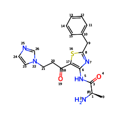 C[C@@H](N)C(=O)Nc1nc(Cc2ccccc2)sc1C(=O)CCn1ccnc1